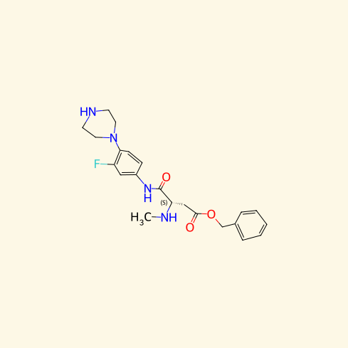 CN[C@@H](CC(=O)OCc1ccccc1)C(=O)Nc1ccc(N2CCNCC2)c(F)c1